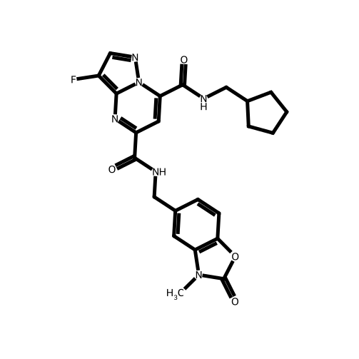 Cn1c(=O)oc2ccc(CNC(=O)c3cc(C(=O)NCC4CCCC4)n4ncc(F)c4n3)cc21